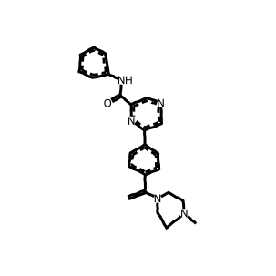 C=C(c1ccc(-c2cncc(C(=O)Nc3ccccc3)n2)cc1)N1CCN(C)CC1